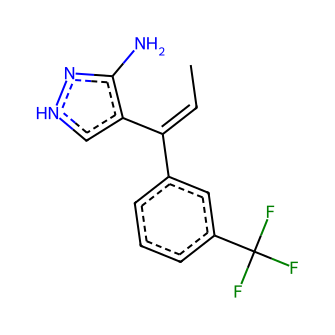 CC=C(c1cccc(C(F)(F)F)c1)c1c[nH]nc1N